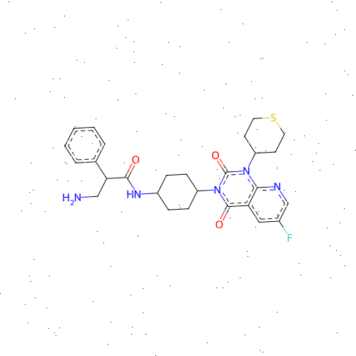 NCC(C(=O)NC1CCC(n2c(=O)c3cc(F)cnc3n(C3CCSCC3)c2=O)CC1)c1ccccc1